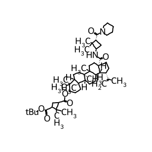 C=C(C)[C@H]1CC[C@]2(C(=O)N[C@@H]3C[C@@H](C(=O)N4CCCCC4)C3(C)C)CC[C@]3(C)[C@H](CC[C@@H]4[C@@]5(C)CC[C@H](OC(=O)C6CC(C(=O)OC(C)(C)C)C6(C)C)C(C)(C)[C@@H]5CC[C@]43C)[C@@H]12